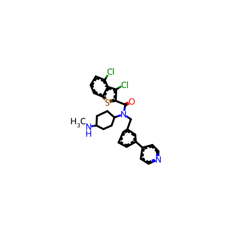 CNC1CCC(N(Cc2cccc(-c3ccncc3)c2)C(=O)c2sc3cccc(Cl)c3c2Cl)CC1